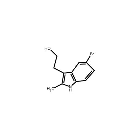 Cc1[nH]c2ccc(Br)cc2c1CCO